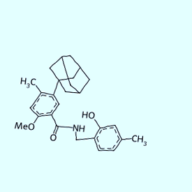 COc1cc(C)c(C23CC4CC(CC(C4)C2)C3)cc1C(=O)NCc1ccc(C)cc1O